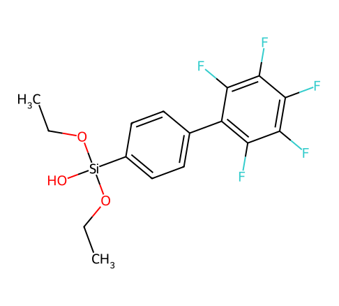 CCO[Si](O)(OCC)c1ccc(-c2c(F)c(F)c(F)c(F)c2F)cc1